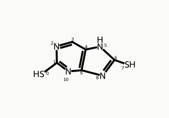 Sc1ncc2[nH]c(S)nc2n1